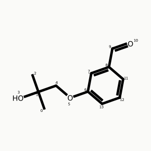 CC(C)(O)COc1[c]c(C=O)ccc1